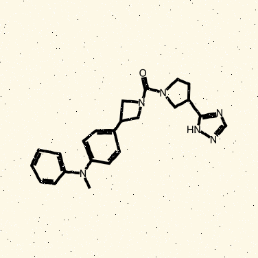 CN(c1ccccc1)c1ccc(C2CN(C(=O)N3CCC(c4ncn[nH]4)C3)C2)cc1